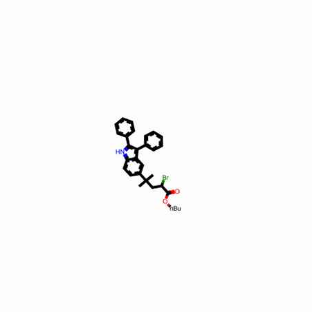 CCCCOC(=O)C(Br)CC(C)(C)c1ccc2[nH]c(-c3ccccc3)c(-c3ccccc3)c2c1